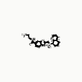 CCN(Cc1nc2cc(C(=O)NCCN)ccc2[nH]1)C1CCCc2cccnc21